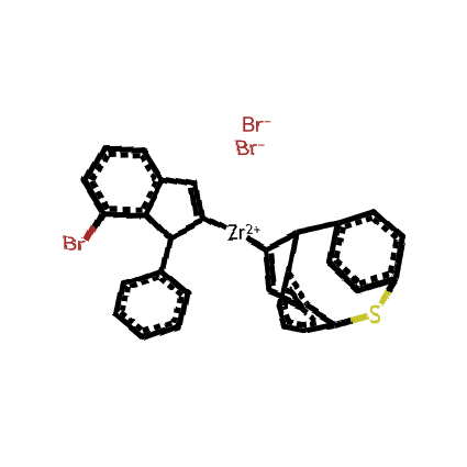 Brc1cccc2c1C(c1ccccc1)[C]([Zr+2][C]1=Cc3c4cccc3C1c1ccc(cc1)S4)=C2.[Br-].[Br-]